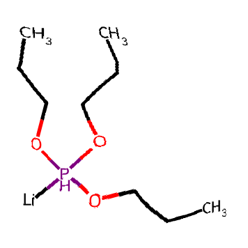 [Li][PH](OCCC)(OCCC)OCCC